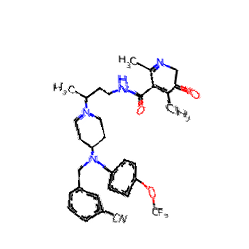 CC1=NCC(=O)C(C)=C1C(=O)NCCC(C)N1CCC(N(Cc2cccc(C#N)c2)c2ccc(OC(F)(F)F)cc2)CC1